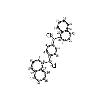 ClC(c1ccc(C(Cl)c2cccc3ccccc23)cc1)c1cccc2ccccc12